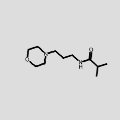 CC(C)C(=O)NCCCN1CCOCC1